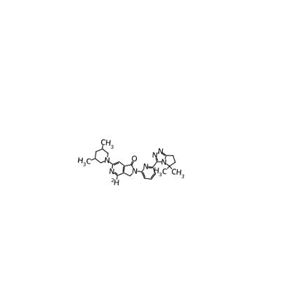 [2H]c1nc(N2CC(C)CC(C)C2)cc2c1CN(c1cccc(-c3nnc4n3C(C)(C)CC4)n1)C2=O